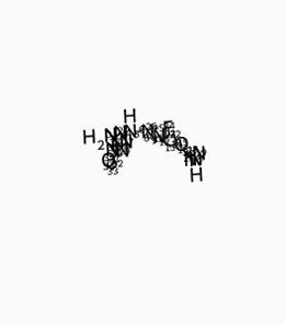 Nc1nc(NCCN2CCN(c3ccc(OCc4cn[nH]n4)cc3F)CC2)nc2nc(-c3ccco3)nn12